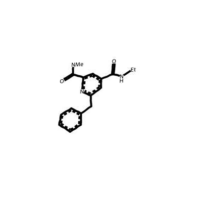 CCNC(=O)c1cc(Cc2ccccc2)nc(C(=O)NC)c1